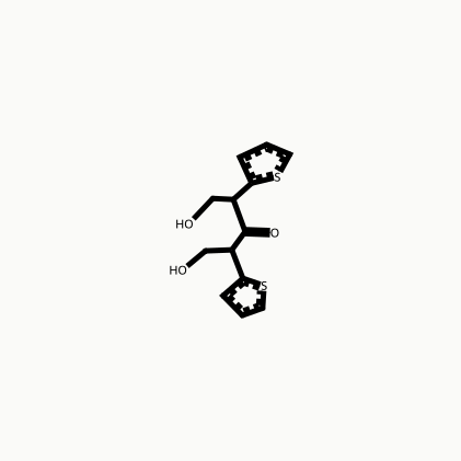 O=C(C(CO)c1cccs1)C(CO)c1cccs1